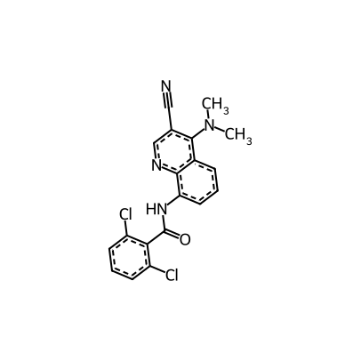 CN(C)c1c(C#N)cnc2c(NC(=O)c3c(Cl)cccc3Cl)cccc12